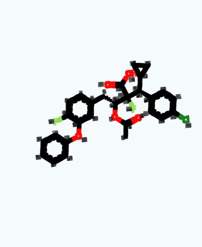 CC(=O)O[C@H](Cc1ccc(F)c(Oc2ccccc2)c1)[C@](F)(C(=O)O)[C@H](c1ccc(Cl)cc1)C1CC1